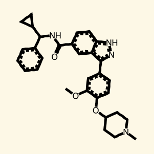 COc1cc(-c2n[nH]c3ccc(C(=O)NC(c4ccccc4)C4CC4)cc23)ccc1OC1CCN(C)CC1